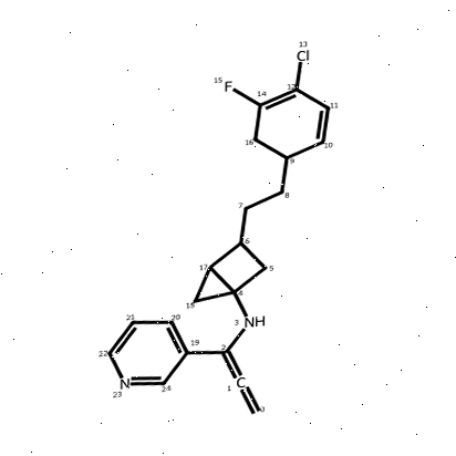 C=C=C(NC12CC(CCC3C=CC(Cl)=C(F)C3)C1C2)c1cccnc1